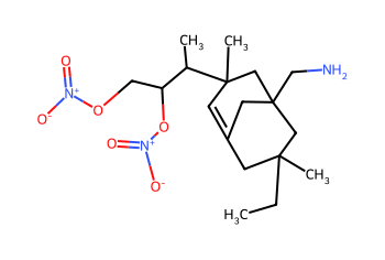 CCC1(C)CC2=CC(C)(C(C)C(CO[N+](=O)[O-])O[N+](=O)[O-])CC(CN)(C2)C1